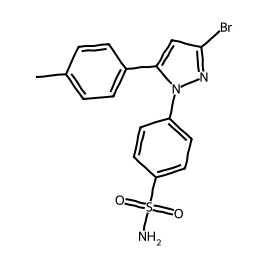 Cc1ccc(-c2cc(Br)nn2-c2ccc(S(N)(=O)=O)cc2)cc1